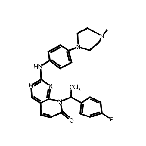 CN1CCN(c2ccc(Nc3ncc4ccc(=O)n(C(c5ccc(F)cc5)C(Cl)(Cl)Cl)c4n3)cc2)CC1